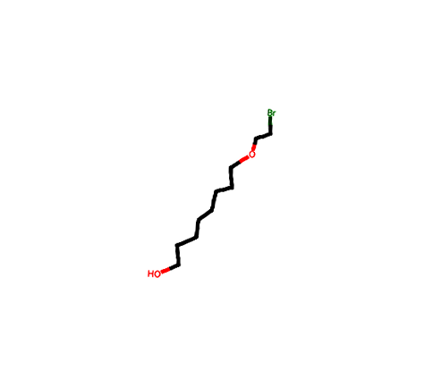 OCCCCCCCCOCCBr